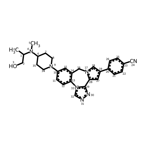 CC(CO)N(C)C1CCN(c2ccc3c(c2)Cn2cc(-c4ccc(C#N)cc4)cc2-c2nncn2-3)CC1